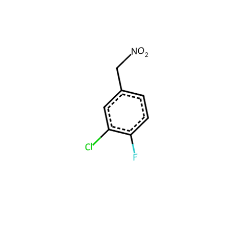 O=[N+]([O-])Cc1ccc(F)c(Cl)c1